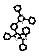 c1ccc(-c2cc(-c3cccc(-c4c(-c5ccccc5)oc5c(-c6ccccc6)nc6ccccc6c45)c3)nc(-c3ccccc3)n2)cc1